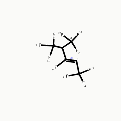 F/C(=C\C(F)(F)F)C(C(F)(F)F)C(F)(F)F